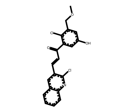 COCc1cc(O)cc(C(=O)/C=C/c2cc3ccccc3nc2Cl)c1Cl